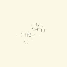 BC1(O)Cc2ccccc2C(O)(O)N1CC(O)CNC(=O)c1cc(NC2COC2)ncn1